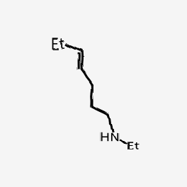 CCC=CCCCNCC